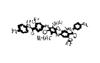 CCOc1cc2c(cc1C(=O)Nc1ccc(CC)cc1)Oc1c(NC(C)=O)c3c(c(NC(C)=O)c1=N2)Oc1cc(C(=O)Nc2ccc(CC)cc2)c(OCC)cc1N=3